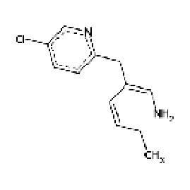 CC/C=C\C(=C/N)Cc1ccc(Cl)cn1